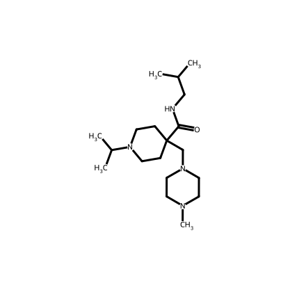 CC(C)CNC(=O)C1(CN2CCN(C)CC2)CCN(C(C)C)CC1